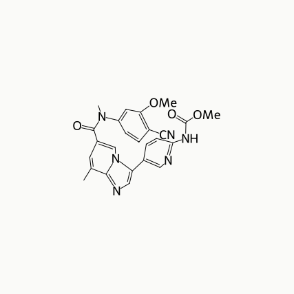 COC(=O)Nc1ccc(-c2cnc3c(C)cc(C(=O)N(C)c4ccc(C#N)c(OC)c4)cn23)cn1